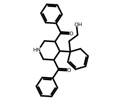 O=C(c1ccccc1)C1CNCC(C(=O)c2ccccc2)C1C1(CCO)C=CC=CC1